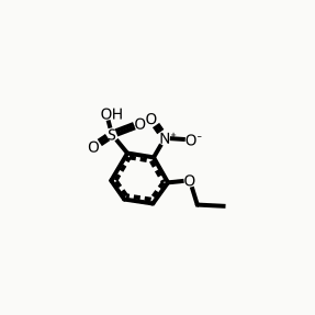 CCOc1cccc(S(=O)(=O)O)c1[N+](=O)[O-]